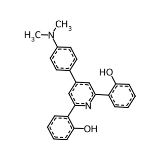 CN(C)c1ccc(-c2cc(-c3ccccc3O)nc(-c3ccccc3O)c2)cc1